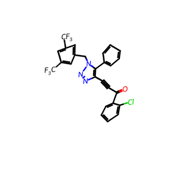 O=C(C#Cc1nnn(Cc2cc(C(F)(F)F)cc(C(F)(F)F)c2)c1-c1ccccc1)c1ccccc1Cl